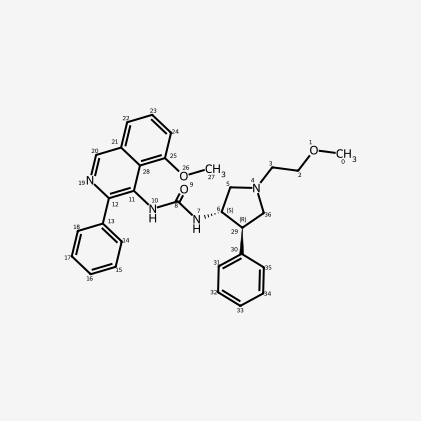 COCCN1C[C@@H](NC(=O)Nc2c(-c3ccccc3)ncc3cccc(OC)c23)[C@H](c2ccccc2)C1